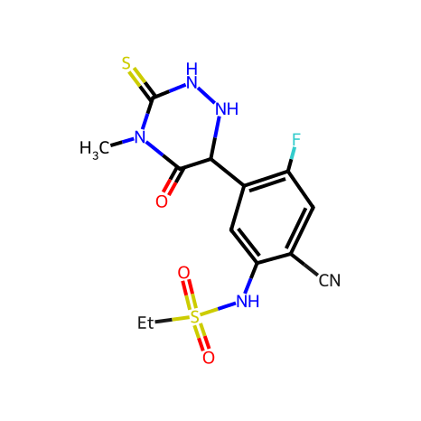 CCS(=O)(=O)Nc1cc(C2NNC(=S)N(C)C2=O)c(F)cc1C#N